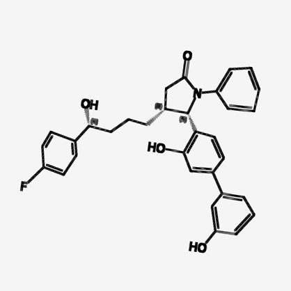 O=C1C[C@@H](CCC[C@@H](O)c2ccc(F)cc2)[C@@H](c2ccc(-c3cccc(O)c3)cc2O)N1c1ccccc1